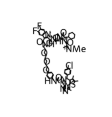 CN[C@@H](C)C(=O)N[C@H](C(=O)N1CCN(C(=O)c2c(C(=O)NCCOCCOCCOc3ccc(NC(=O)C[C@@H]4N=C(c5ccc(Cl)cc5)c5c(sc(C)c5C)-n5c(C)nnc54)cc3)c3cc(F)c(F)cc3n2C)CC1)C1CCCCC1